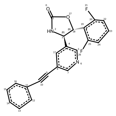 O=C1N[C@H](c2cncc(C#Cc3ccccc3)c2)[C@@H](c2c(F)cccc2F)O1